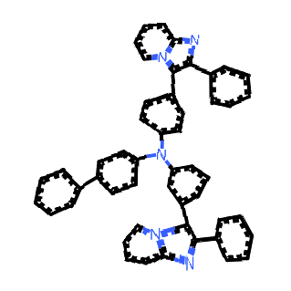 c1ccc(-c2ccc(N(c3ccc(-c4c(-c5ccccc5)nc5ccccn45)cc3)c3cccc(-c4c(-c5ccccc5)nc5ccccn45)c3)cc2)cc1